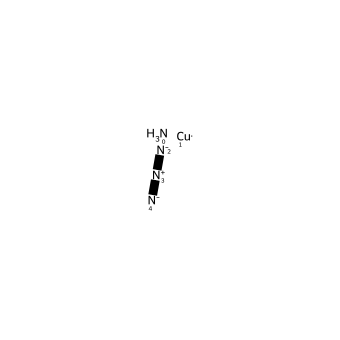 N.[Cu].[N-]=[N+]=[N-]